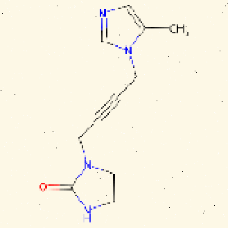 Cc1cncn1CC#CCN1CCNC1=O